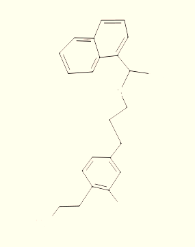 CC(NCCCc1ccc(CCC(=O)O)c(F)c1)c1cccc2ccccc12